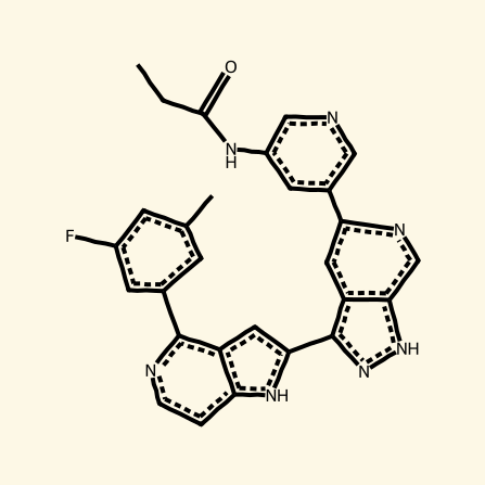 CCC(=O)Nc1cncc(-c2cc3c(-c4cc5c(-c6cc(C)cc(F)c6)nccc5[nH]4)n[nH]c3cn2)c1